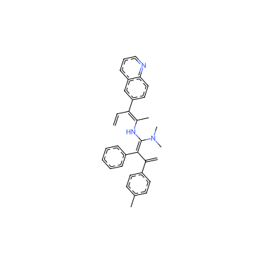 C=C/C(=C(/C)N/C(=C(/C(=C)c1ccc(C)cc1)c1ccccc1)N(C)C)c1ccc2ncccc2c1